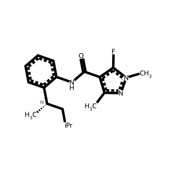 Cc1nn(C)c(F)c1C(=O)Nc1ccccc1[C@@H](C)CC(C)C